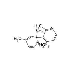 CC1=CC(C)(c2c(C)ccnc2C)N(C)C=C1